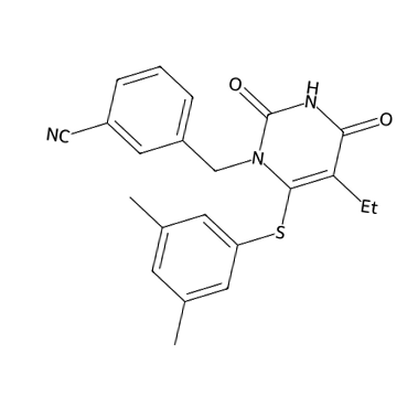 CCc1c(Sc2cc(C)cc(C)c2)n(Cc2cccc(C#N)c2)c(=O)[nH]c1=O